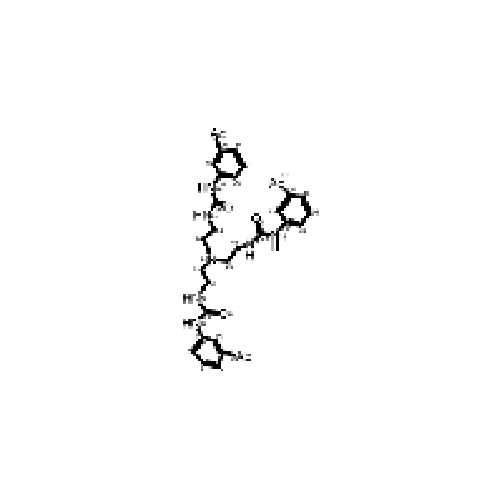 CC(=O)c1cccc(NC(=O)NCCN(CCNC(=O)Nc2cccc(C(C)=O)c2)CCNC(=O)Nc2cccc(C(C)=O)c2)c1